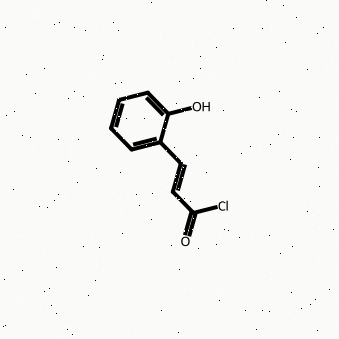 O=C(Cl)/C=C/c1ccccc1O